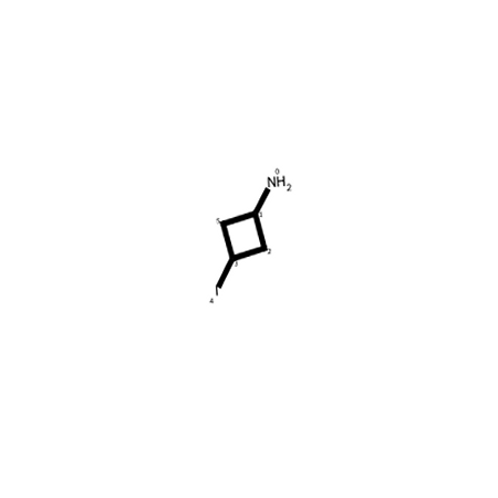 NC1CC(I)C1